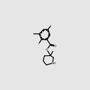 CC1(OC(=O)c2cc(I)cc(I)c2I)CCCNC1